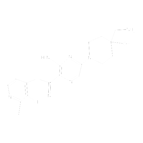 Cc1nccc(OC(=N)c2ncc(N3CCC(O)(CN)CC3)nc2N)c1Cl